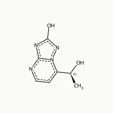 C[C@H](O)c1ccnc2nc(O)nn12